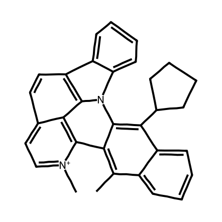 Cc1c2ccccc2c(C2CCCC2)c2c1c1c3c(ccc4c5ccccc5n2c43)cc[n+]1C